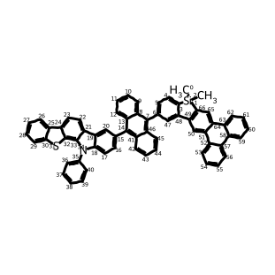 C[Si]1(C)c2ccc(-c3c4ccccc4c(-c4ccc5c(c4)c4ccc6c7ccccc7sc6c4n5-c4ccccc4)c4ccccc34)cc2-c2cc3c4ccccc4c4ccccc4c3cc21